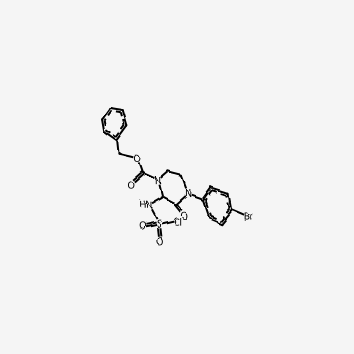 O=C1C(NS(=O)(=O)Cl)N(C(=O)OCc2ccccc2)CCN1c1ccc(Br)cc1